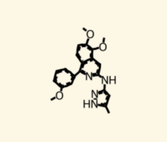 COc1cccc(-c2nc(Nc3cc(C)[nH]n3)cc3c(OC)c(OC)ccc23)c1